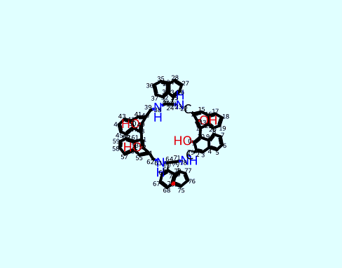 Oc1c2cc3ccccc3c1-c1c(O)c(cc3ccccc13)CN[C@H](c1ccccc1)[C@@H](c1ccccc1)NCc1cc3ccccc3c(c1O)-c1c(O)c(cc3ccccc13)CN[C@H](c1ccccc1)[C@@H](c1ccccc1)NC2